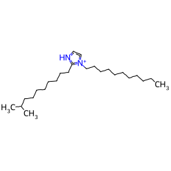 CCCCCCCCCCC[n+]1cc[nH]c1CCCCCCCCC(C)C